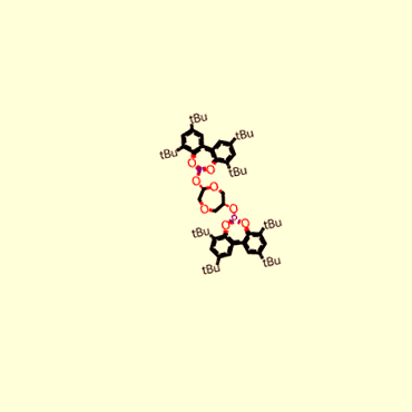 CC(C)(C)c1cc(C(C)(C)C)c2op(O[C@H]3COC[C@@H](Op4oc5c(C(C)(C)C)cc(C(C)(C)C)cc5c5cc(C(C)(C)C)cc(C(C)(C)C)c5o4)OC3)oc3c(C(C)(C)C)cc(C(C)(C)C)cc3c2c1